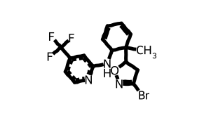 CC1(C2CC(Br)=NO2)C=CC=CC1Nc1cc(C(F)(F)F)ccn1